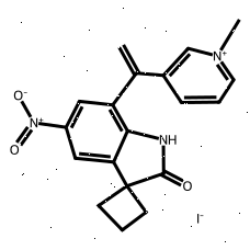 C=C(c1ccc[n+](C)c1)c1cc([N+](=O)[O-])cc2c1NC(=O)C21CCC1.[I-]